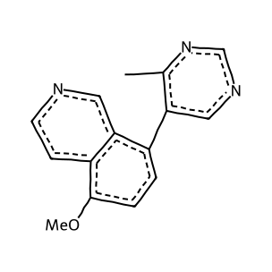 COc1ccc(-c2cncnc2C)c2cnccc12